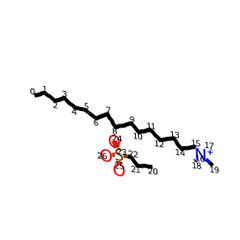 CCCCCCCCCCCCCCCC[N+](C)(C)C.CCCS(=O)(=O)[O-]